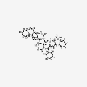 CC1(C)c2ccccc2-c2cc(N(c3ccccc3)c3cccc4c3sc3ccc5c6ccc7ccccc7c6oc5c34)ccc21